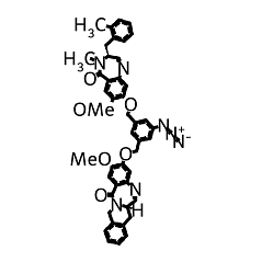 COc1cc2c(cc1OCc1cc(COc3cc4c(cc3OC)C(=O)N3Cc5ccccc5C[C@H]3C=N4)cc(N=[N+]=[N-])c1)N=C[C@H](Cc1ccccc1C)N(C)C2=O